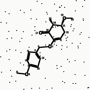 COc1ccc(COC2=CC[C@H](OC)[C@H](C)C2=O)cc1